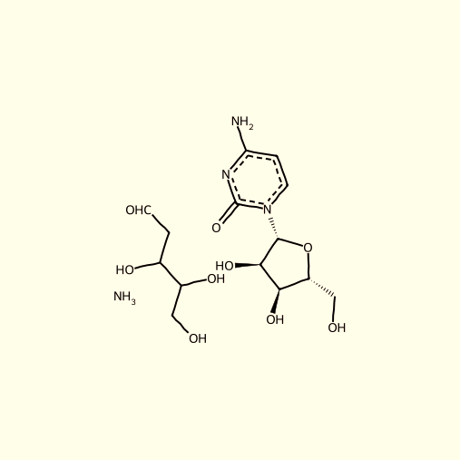 N.Nc1ccn([C@@H]2O[C@H](CO)[C@@H](O)[C@H]2O)c(=O)n1.O=CCC(O)C(O)CO